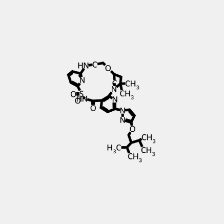 CC(C)C(COc1ccn(-c2ccc3c(n2)N2CC(CC2(C)C)OCCNc2cccc(n2)S(=O)(=O)NC3=O)n1)C(C)C